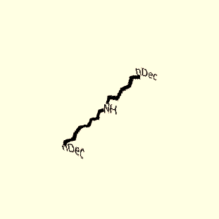 CCCCCCCCCCCCCCCCCNCCCCCCCCCCCCCCCC